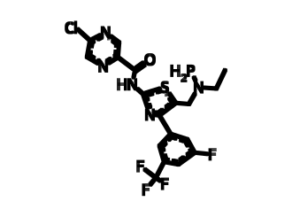 CCN(P)Cc1sc(NC(=O)c2cnc(Cl)cn2)nc1-c1cc(F)cc(C(F)(F)F)c1